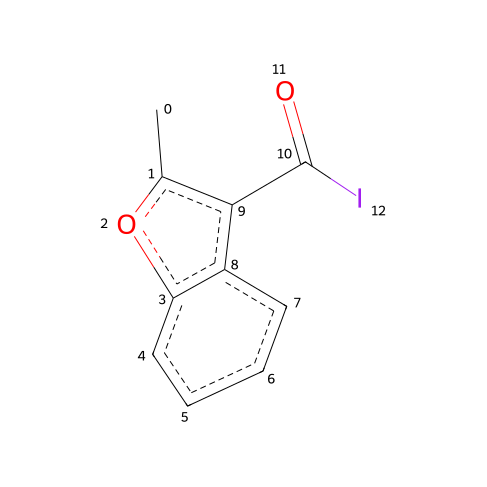 Cc1oc2ccccc2c1C(=O)I